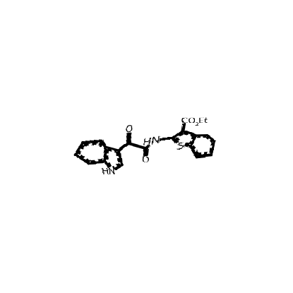 CCOC(=O)c1c(NC(=O)C(=O)c2c[nH]c3ccccc23)sc2ccccc12